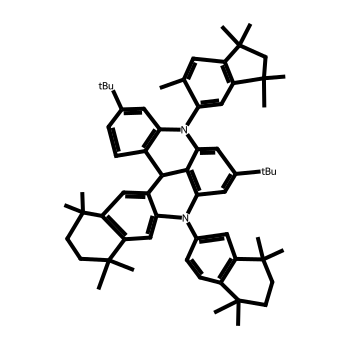 Cc1cc2c(cc1N1c3cc(C(C)(C)C)ccc3C3c4cc5c(cc4N(c4ccc6c(c4)C(C)(C)CCC6(C)C)c4cc(C(C)(C)C)cc1c43)C(C)(C)CCC5(C)C)C(C)(C)CC2(C)C